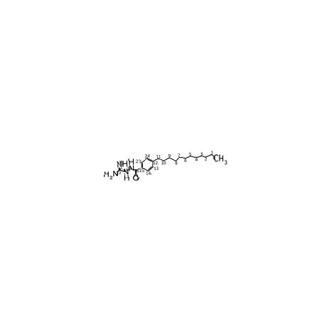 CCCCCCCCCCCCc1ccc(C(=O)NNC(=N)N)cc1